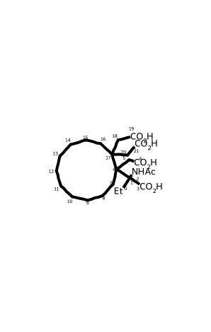 CCC(NC(C)=O)(C(=O)O)C1(CC(=O)O)CCCCCCCCCCC1(CC(=O)O)CC(=O)O